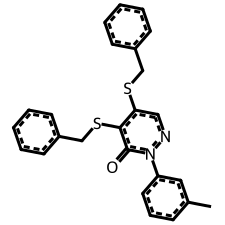 Cc1cccc(-n2ncc(SCc3ccccc3)c(SCc3ccccc3)c2=O)c1